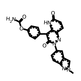 Cn1cc2cc(-n3nc4ccc(=O)[nH]c4c(-c4ccc(OC(N)=O)cc4)c3=O)ccc2n1